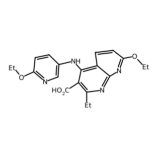 CCOc1ccc(Nc2c(C(=O)O)c(CC)nc3nc(OCC)ccc23)cn1